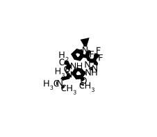 C=CC(=O)Nc1cc(Nc2ncc(C(F)(F)F)c(-c3cn(C4CC4)c4ccccc34)n2)c(OC)cc1N(C)CCN(C)C